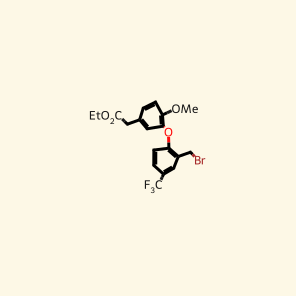 CCOC(=O)Cc1ccc(OC)c(Oc2ccc(C(F)(F)F)cc2CBr)c1